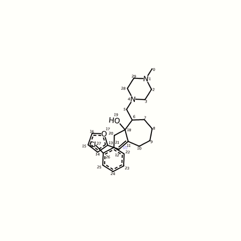 CN1CCN(CC2CCCC/C(=C/c3ccco3)C2(O)Cc2ccccc2Cl)CC1